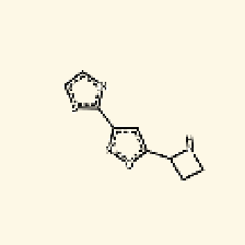 c1csc(-c2cc(C3CCN3)on2)n1